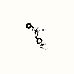 CC(C)[C@](COCC1CCN(C(=O)OC(C)(C)C)CC1)(NC=O)OCc1ccccc1